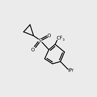 CC(C)c1ccc(S(=O)(=O)C2CC2)c(C(F)(F)F)c1